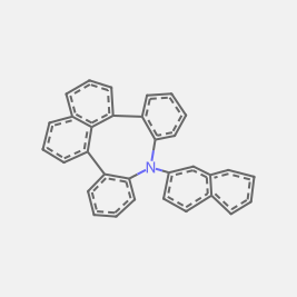 c1ccc2c(c1)-c1cccc3cccc(c13)-c1ccccc1N2c1ccc2ccccc2c1